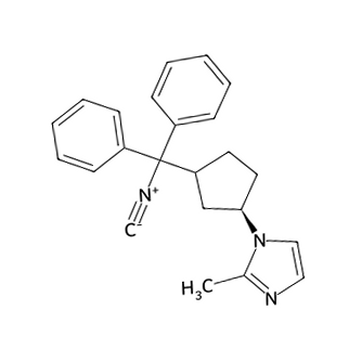 [C-]#[N+]C(c1ccccc1)(c1ccccc1)C1CC[C@@H](n2ccnc2C)C1